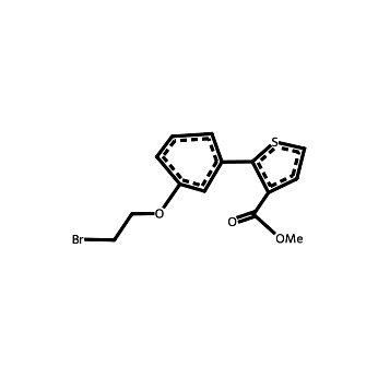 COC(=O)c1ccsc1-c1cccc(OCCBr)c1